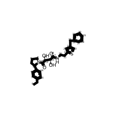 CCc1ccc(C2CCCN2C(=O)[C@H](O)[C@@H](O)C(=O)NCCc2cc(Cc3ccccc3)cs2)cc1